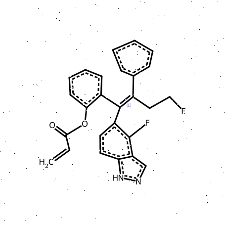 C=CC(=O)Oc1ccccc1/C(=C(/CCF)c1ccccc1)c1ccc2[nH]ncc2c1F